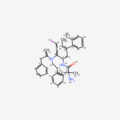 C=C(Cc1ccccc1)N(CCc1ccccc1)C(=C=CI)[C@@H](C/C(=C/C)c1ccccc1C)NC(=O)C(C)(C)N